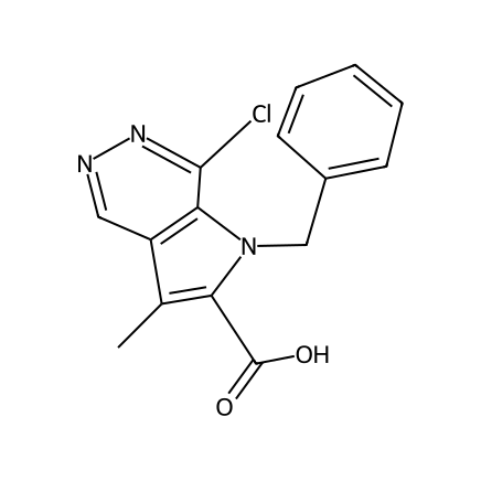 Cc1c(C(=O)O)n(Cc2ccccc2)c2c(Cl)nncc12